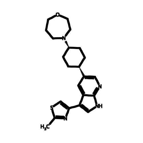 Cc1nc(-c2c[nH]c3ncc([C@H]4CC[C@@H](N5CCCOCC5)CC4)cc23)cs1